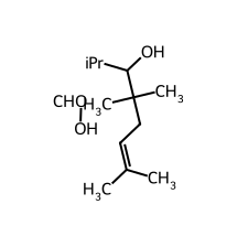 CC(C)=CCC(C)(C)C(O)C(C)C.O=CO